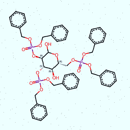 O=P(OCc1ccccc1)(OCc1ccccc1)OC[C@H]1OC(O)[C@H](OP(=O)(OCc2ccccc2)OCc2ccccc2)[C@@H](OP(=O)(OCc2ccccc2)OCc2ccccc2)[C@@H]1O